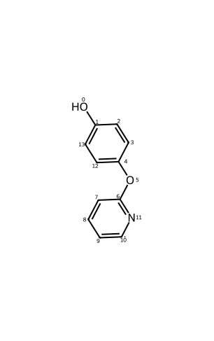 Oc1ccc(Oc2ccc[c]n2)cc1